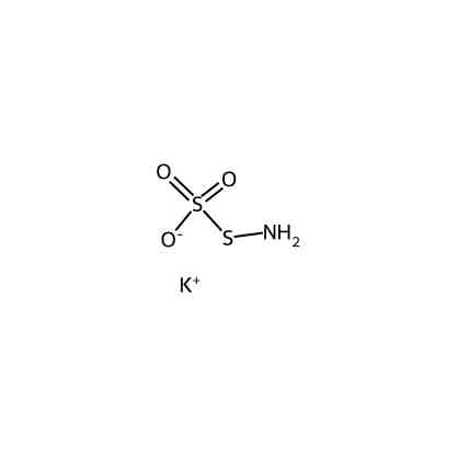 NSS(=O)(=O)[O-].[K+]